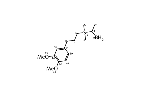 BC(C)S(C)(C)CCCc1ccc(OC)c(OC)c1